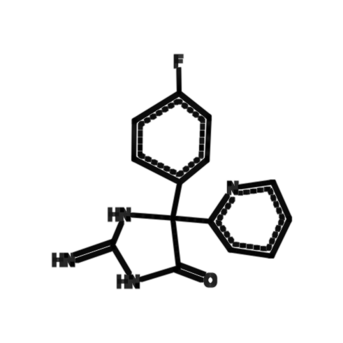 N=C1NC(=O)C(c2ccc(F)cc2)(c2ccccn2)N1